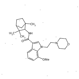 COc1cccc2c(C(=O)NC3C4(C)CCC(C4)C3(C)C)cn(CCN3CCOCC3)c12